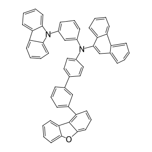 c1cc(-c2ccc(N(c3cccc(-n4c5ccccc5c5ccccc54)c3)c3cc4ccccc4c4ccccc34)cc2)cc(-c2cccc3oc4ccccc4c23)c1